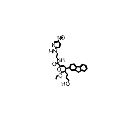 CCOC1OC(C(=O)NCCNc2ccc(N=O)cn2)=CC(c2ccc3c(c2)Cc2ccccc2-3)C1CCCO